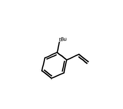 C=Cc1c[c]ccc1C(C)(C)C